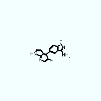 Nc1n[nH]c2ccc(-c3c(F)cnc4[nH]ccc34)cc12